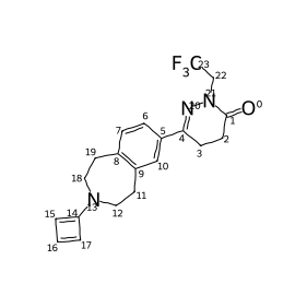 O=C1CCC(c2ccc3c(c2)CCN(C2=CC=C2)CC3)=NN1CC(F)(F)F